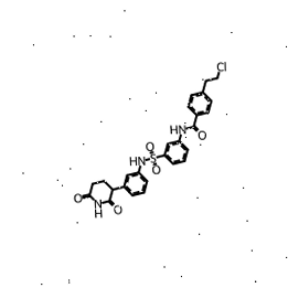 O=C1CCC(c2cccc(NS(=O)(=O)c3cccc(NC(=O)c4ccc(CCCl)cc4)c3)c2)C(=O)N1